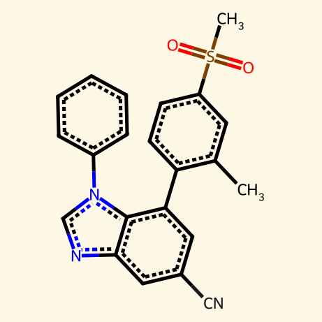 Cc1cc(S(C)(=O)=O)ccc1-c1cc(C#N)cc2ncn(-c3ccccc3)c12